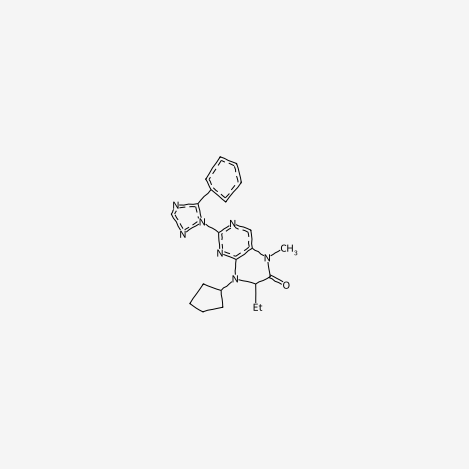 CCC1C(=O)N(C)c2cnc(-n3ncnc3-c3ccccc3)nc2N1C1CCCC1